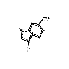 O=C(O)c1ccc2c(Br)coc2c1